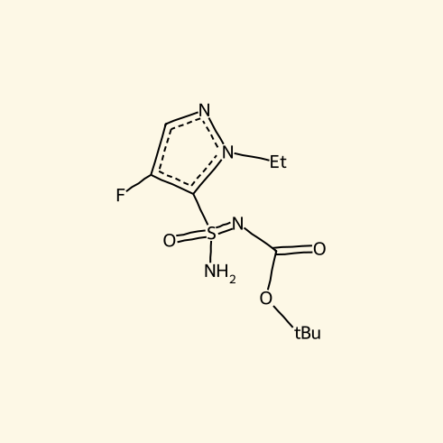 CCn1ncc(F)c1S(N)(=O)=NC(=O)OC(C)(C)C